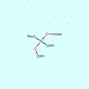 CO[O][Ti]([O]C)([O]C)[O]OC